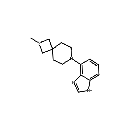 CN1CC2(CCN(c3cccc4[nH]cnc34)CC2)C1